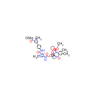 C=CCOC(=O)N1c2cc(C)c(C)cc2C(=O)N2CC[C@H](OCC(=O)Nc3cn(C)c(C(=O)Nc4ccc(-c5cc(C(=O)OC)n(C)c5)cc4)n3)[C@H]2C1OC1CCCCO1